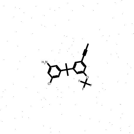 CC#Cc1cc(OC(F)(F)F)cc(C(C)(C)c2cc(N)cc(Cl)c2)c1